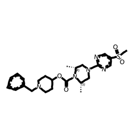 C[C@@H]1CN(c2ncc(S(C)(=O)=O)cn2)C[C@H](C)N1C(=O)OC1CCN(Cc2ccccc2)CC1